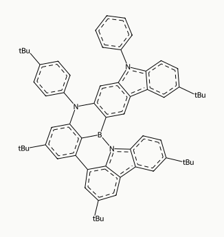 CC(C)(C)c1ccc(N2c3cc4c(cc3B3c5c(cc(C(C)(C)C)cc52)-c2cc(C(C)(C)C)cc5c6cc(C(C)(C)C)ccc6n3c25)c2cc(C(C)(C)C)ccc2n4-c2ccccc2)cc1